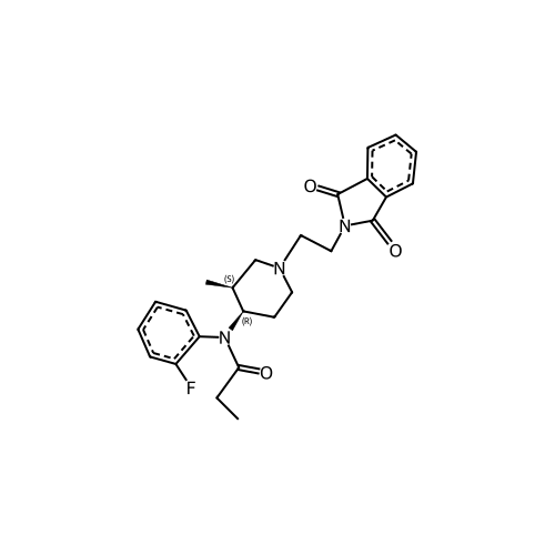 CCC(=O)N(c1ccccc1F)[C@@H]1CCN(CCN2C(=O)c3ccccc3C2=O)C[C@@H]1C